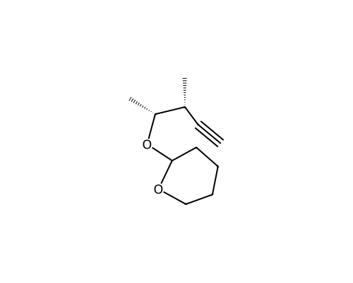 C#C[C@@H](C)[C@@H](C)OC1CCCCO1